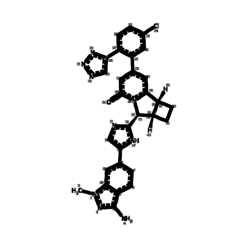 Cn1nc(N)c2ccc(-c3cnc([C@@H]4[C@H]5CC[C@H]5c5cc(-c6cc(Cl)ccc6-n6cnnn6)cc(=O)n54)[nH]3)cc21